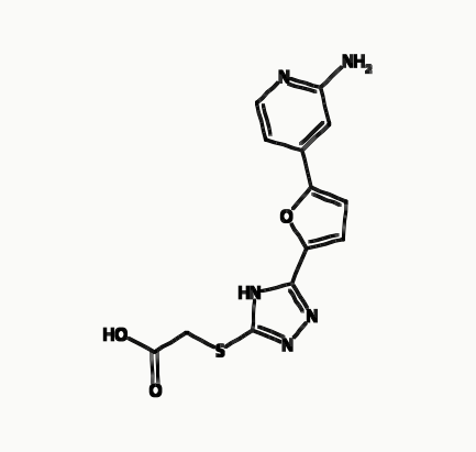 Nc1cc(-c2ccc(-c3nnc(SCC(=O)O)[nH]3)o2)ccn1